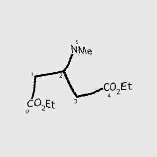 CCOC(=O)CC(CC(=O)OCC)NC